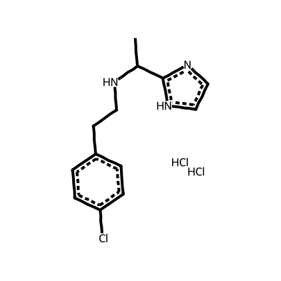 CC(NCCc1ccc(Cl)cc1)c1ncc[nH]1.Cl.Cl